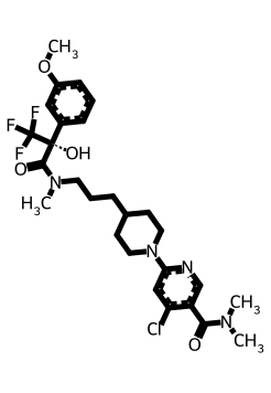 COc1cccc([C@@](O)(C(=O)N(C)CCCC2CCN(c3cc(Cl)c(C(=O)N(C)C)cn3)CC2)C(F)(F)F)c1